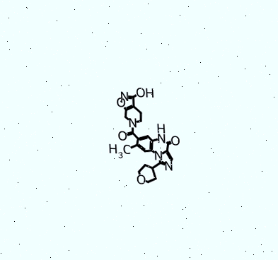 Cc1cc2c(cc1C(=O)N1CCc3c(O)noc3C1)[nH]c(=O)c1cnc(C3CCOCC3)n12